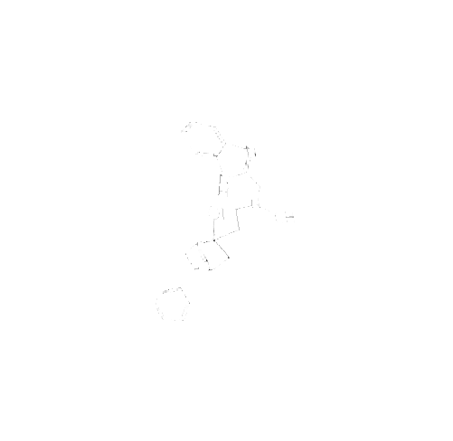 CN(CCC1(O)CC2CCC1C=C2c1ccccc1)Cc1nc2ccccc2[nH]1